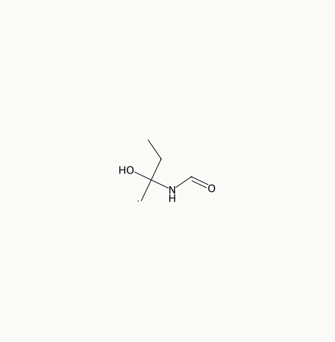 [CH2]C(O)(CC)NC=O